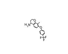 Cc1c(Oc2ccc(C(F)(F)F)cc2)ccc2c1OCCC2N